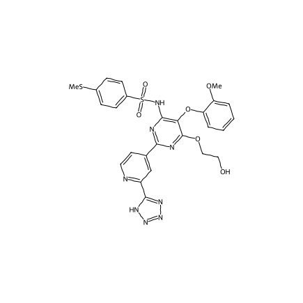 COc1ccccc1Oc1c(NS(=O)(=O)c2ccc(SC)cc2)nc(-c2ccnc(-c3nnn[nH]3)c2)nc1OCCO